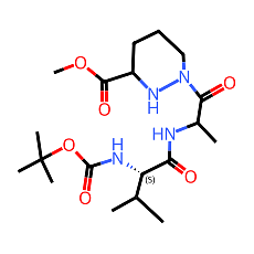 COC(=O)C1CCCN(C(=O)C(C)NC(=O)[C@@H](NC(=O)OC(C)(C)C)C(C)C)N1